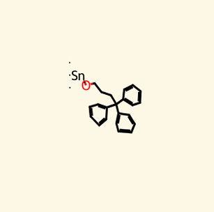 [Sn][O]CCCC(c1ccccc1)(c1ccccc1)c1ccccc1